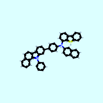 c1ccc(-n2c3cc(-c4ccc(N(c5ccc6ccccc6c5)c5cccc6c5sc5ccccc56)cc4)ccc3c3ccc4ccccc4c32)cc1